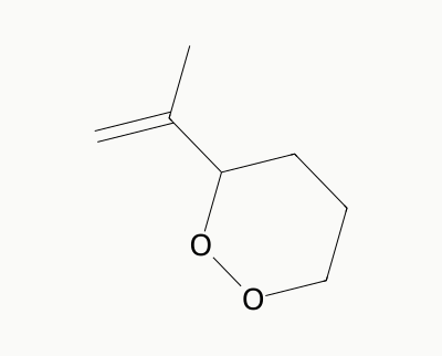 C=C(C)C1CCCOO1